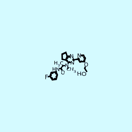 CC(C(=O)Nc1cccc(F)c1)N(C)c1nc(-c2cc(OCCO)ccn2)nc2c1CCC2